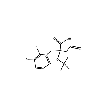 CC(C)(C)OC(CC=O)(Cc1cccc(F)c1F)C(=O)O